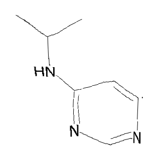 CC(C)Nc1c[c]ncn1